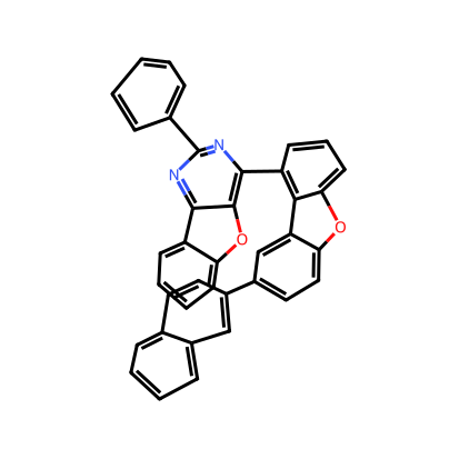 c1ccc(-c2nc(-c3cccc4oc5ccc(-c6ccc7ccccc7c6)cc5c34)c3oc4ccccc4c3n2)cc1